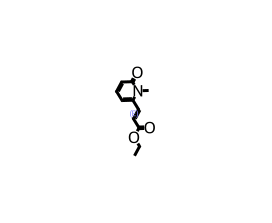 CCOC(=O)/C=C/c1cccc(=O)n1C